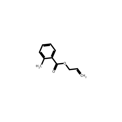 [CH2]c1ccccc1C(=O)OCC=C